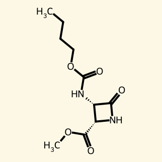 CCCCOC(=O)N[C@@H]1C(=O)N[C@@H]1C(=O)OC